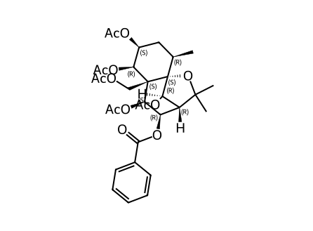 CC(=O)OC[C@]12[C@H](OC(C)=O)[C@H](OC(=O)c3ccccc3)[C@@H]3[C@@H](OC(C)=O)[C@]1(OC3(C)C)[C@H](C)C[C@H](OC(C)=O)[C@@H]2OC(C)=O